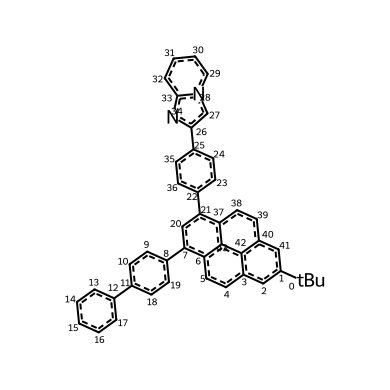 CC(C)(C)c1cc2ccc3c(-c4ccc(-c5ccccc5)cc4)cc(-c4ccc(-c5cn6ccccc6n5)cc4)c4ccc(c1)c2c34